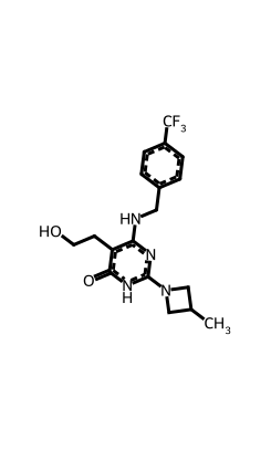 CC1CN(c2nc(NCc3ccc(C(F)(F)F)cc3)c(CCO)c(=O)[nH]2)C1